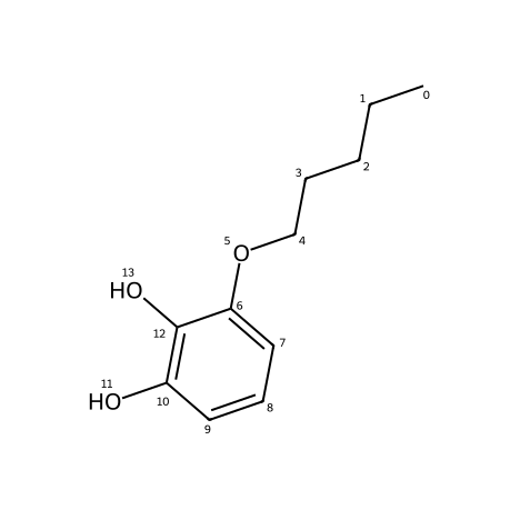 CCCCCOc1cccc(O)c1O